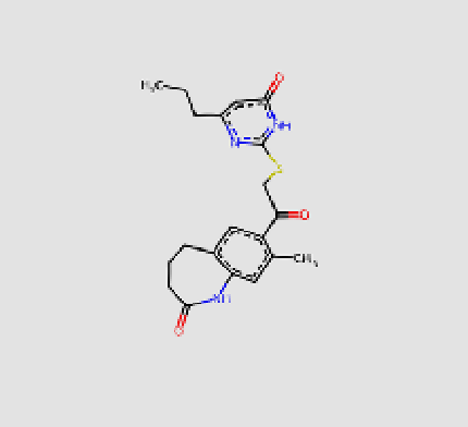 CCCc1cc(=O)[nH]c(SCC(=O)c2cc3c(cc2C)NC(=O)CCC3)n1